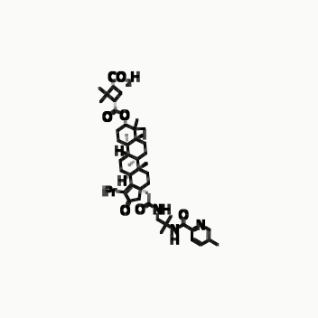 Cc1ccc(C(=O)NC(C)(C)CNC(=O)C[C@@]23CC[C@]4(C)[C@H](CC[C@@H]5[C@@]6(C)CC[C@H](OC(=O)[C@H]7C[C@@H](C(=O)O)C7(C)C)C(C)(C)[C@]6(I)CC[C@]54C)C2=C(C(C)C)C(=O)C3)nc1